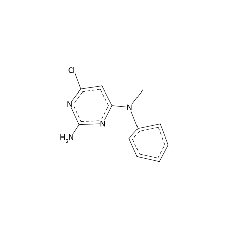 CN(c1ccccc1)c1cc(Cl)nc(N)n1